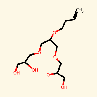 C=CCCOC(COCC(O)CO)COCC(O)CO